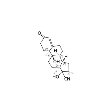 C[C@H]1C[C@H]2[C@@H]3CCC4=CC(=O)CC[C@]4(C)[C@@]3(O)CC[C@]2(C)C1(O)C#N